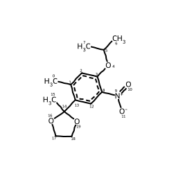 Cc1cc(OC(C)C)c([N+](=O)[O-])cc1C1(C)OCCO1